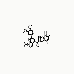 COc1ccc(-c2cc(C(=O)NCc3c(C)cc(C)[nH]c3=O)c3cnn(C(C)C)c3n2)cc1OC